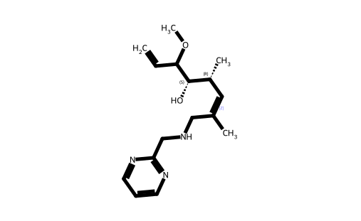 C=CC(OC)[C@@H](O)[C@H](C)/C=C(/C)CNCc1ncccn1